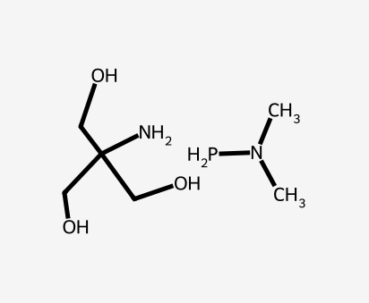 CN(C)P.NC(CO)(CO)CO